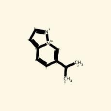 CC(C)c1ccc2ccnn2c1